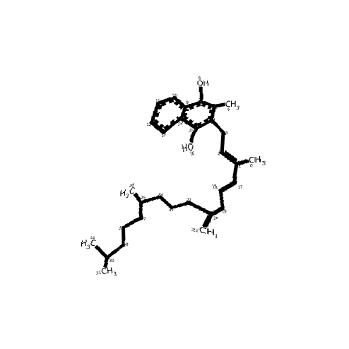 C/C(=C\Cc1c(C)c(O)c2ccccc2c1O)CCCC(C)CCCC(C)CCCC(C)C